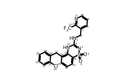 O=S1(=O)N=C(NCc2cccnc2C(F)(F)F)Nc2c(Cc3ccccc3Cl)cccc21